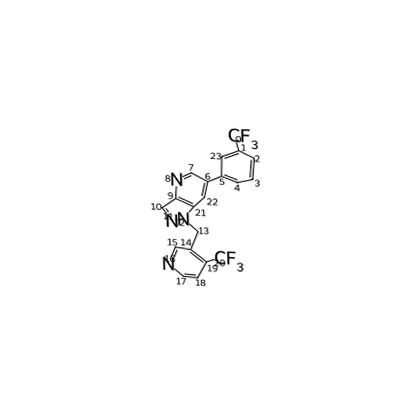 FC(F)(F)c1cccc(-c2cnc3cnn(Cc4cnccc4C(F)(F)F)c3c2)c1